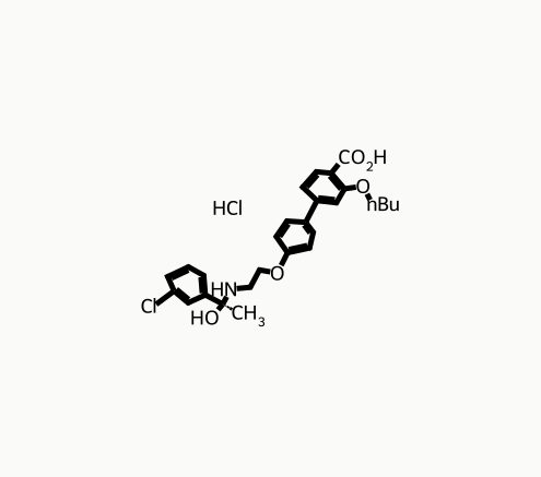 CCCCOc1cc(-c2ccc(OCCN[C@@](C)(O)c3cccc(Cl)c3)cc2)ccc1C(=O)O.Cl